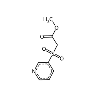 COC(=O)CS(=O)(=O)c1cccnc1